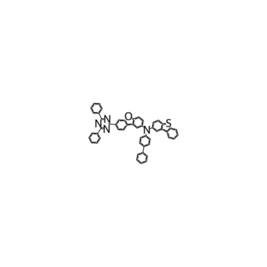 c1ccc(-c2ccc(N(c3ccc4oc5cc(-c6nc(-c7ccccc7)nc(-c7ccccc7)n6)ccc5c4c3)c3ccc4sc5ccccc5c4c3)cc2)cc1